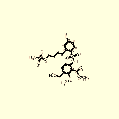 CCc1ccc(NS(=O)(=O)c2ccc(F)cc2CCCCOS(C)(=O)=O)c(C(=O)OC)c1OC